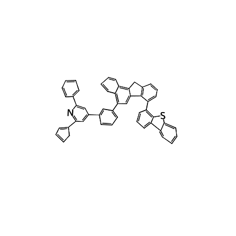 C1=CCC(c2cc(-c3cccc(-c4cc5c(c6ccccc46)Cc4cccc(-c6cccc7c6sc6ccccc67)c4-5)c3)cc(-c3ccccc3)n2)=C1